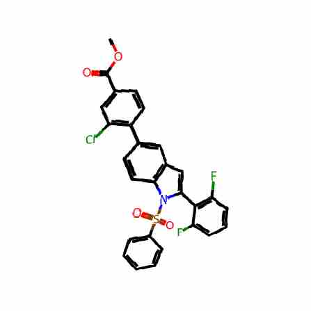 COC(=O)c1ccc(-c2ccc3c(c2)cc(-c2c(F)cccc2F)n3S(=O)(=O)c2ccccc2)c(Cl)c1